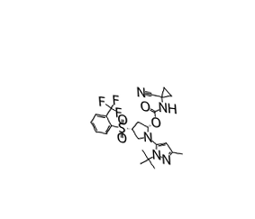 Cc1cc(N2C[C@H](S(=O)(=O)c3ccccc3C(F)(F)F)C[C@@H]2OC(=O)NC2(C#N)CC2)n(C(C)(C)C)n1